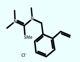 C=Cc1ccccc1CN(C)C(SC)=[N+](C)C.[Cl-]